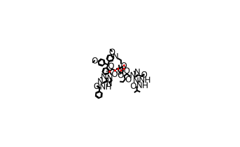 CCC1O[C@@H](n2cnc3c(=O)[nH]c(NC(=O)C(C)C)nc32)[C@@H](OP(OCCC#N)OC[C@H]2OC(n3cnc4c(NC(=O)c5ccccc5)ncnc43)[C@@H](C)[C@H]2OC(c2ccccc2)(c2ccc(OC)cc2)c2ccc(OC)cc2)[C@H]1O[Si](C)(C)C(C)(C)C